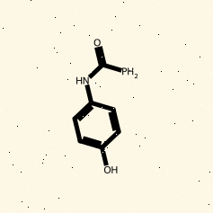 O=C(P)Nc1ccc(O)cc1